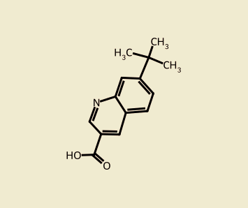 CC(C)(C)c1ccc2cc(C(=O)O)cnc2c1